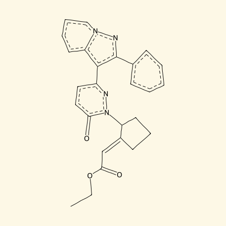 CCOC(=O)C=C1CCCC1n1nc(-c2c(-c3ccccc3)nn3ccccc23)ccc1=O